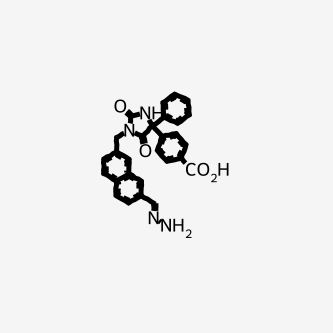 NN=Cc1ccc2ccc(CN3C(=O)NC(c4ccccc4)(c4ccc(C(=O)O)cc4)C3=O)cc2c1